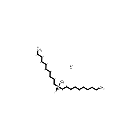 CCCCCCCCCCP(=O)(O)CCCCCCCCCC.[Cr]